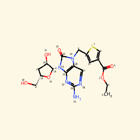 CCOC(=O)c1csc(Cn2c(=O)n([C@@H]3O[C@H](CO)C[C@H]3O)c3nc(N)ncc32)c1